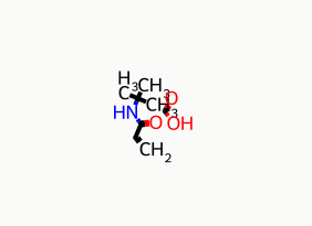 C=CC(=O)NC(C)(C)C.O=CO